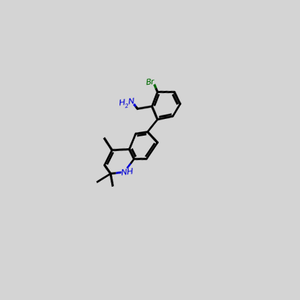 CC1=CC(C)(C)Nc2ccc(-c3cccc(Br)c3CN)cc21